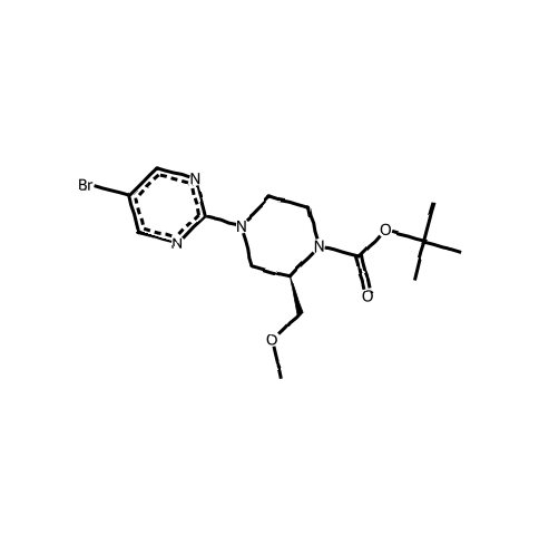 COC[C@H]1CN(c2ncc(Br)cn2)CCN1C(=O)OC(C)(C)C